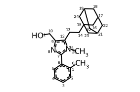 Cc1ccccc1-c1nc(CO)c(CCC23CC4CC(CC(C4)C2)C3)n1C